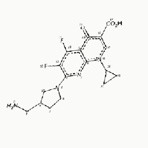 NCC1CCN(c2nc3c(c(F)c2F)c(=O)c(C(=O)O)cn3C2CC2)C1